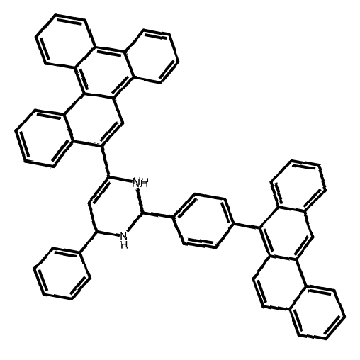 C1=C(c2cc3c4ccccc4c4ccccc4c3c3ccccc23)NC(c2ccc(-c3c4ccccc4cc4c3ccc3ccccc34)cc2)NC1c1ccccc1